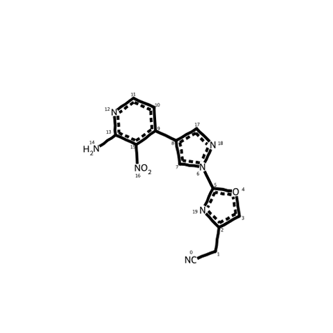 N#CCc1coc(-n2cc(-c3ccnc(N)c3[N+](=O)[O-])cn2)n1